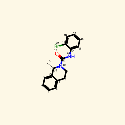 C[C@H]1c2ccccc2CCN1C(=O)Nc1ccccc1Br